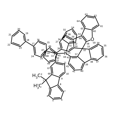 CC1(C)c2ccccc2-c2ccc(N(c3ccc(-c4ccccc4)cc3)c3ccc4c(c3)C3(c5ccccc5-c5cccc(N(c6ccccc6)c6ccccc6)c53)c3oc5ccccc5c3-4)cc21